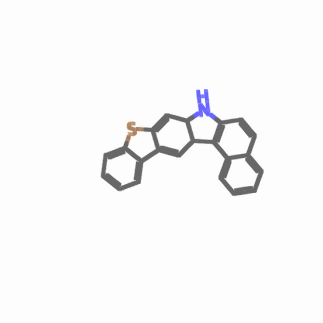 C1=c2sc3ccccc3c2=CC2c3c(ccc4ccccc34)NC12